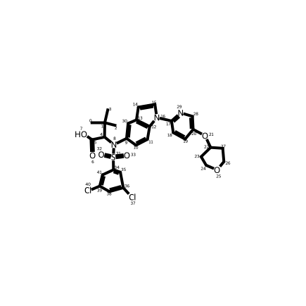 CC(C)(C)C(C(=O)O)N(c1ccc2c(ccn2-c2ccc(OC3CCOCC3)cn2)c1)S(=O)(=O)c1cc(Cl)cc(Cl)c1